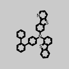 c1ccc(-c2ccccc2-c2ccc(N(c3ccc4c(c3)sc3cccnc34)c3cccc4c3sc3ccccc34)cc2)cc1